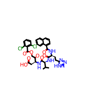 CC(C)[C@H](NC(=O)[C@H](CCc1nnn[nH]1)NC(=O)c1cccc2ccccc12)C(=O)N[C@@H](CC(=O)O)C(=O)COC(=O)c1c(Cl)cccc1Cl